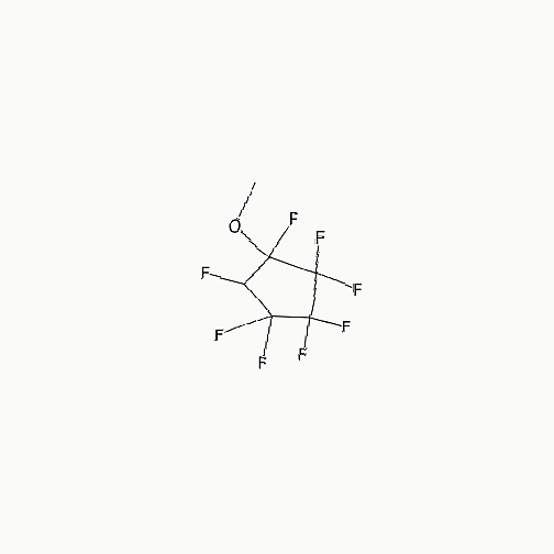 COC1(F)C(F)C(F)(F)C(F)(F)C1(F)F